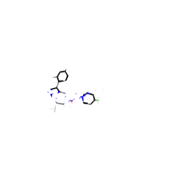 CC1Cn2ncc(-c3ccc(F)cc3F)c2CN1C(=O)Nc1ccc(F)c(Cl)c1